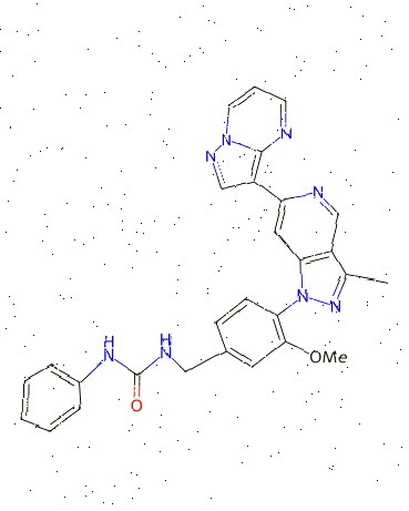 COc1cc(CNC(=O)Nc2ccccc2)ccc1-n1nc(C)c2cnc(-c3cnn4cccnc34)cc21